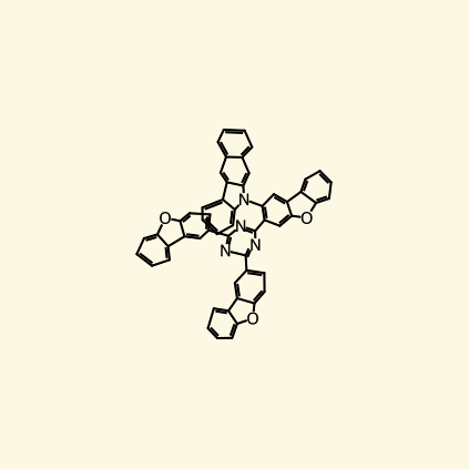 c1ccc2cc3c(cc2c1)c1ccccc1n3-c1cc2c(cc1-c1nc(-c3ccc4oc5ccccc5c4c3)nc(-c3ccc4oc5ccccc5c4c3)n1)oc1ccccc12